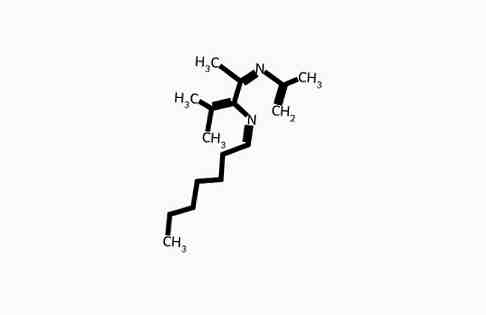 C=C(C)/N=C(/C)C(/N=C\CCCCCC)=C(C)C